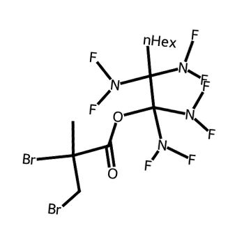 CCCCCCC(N(F)F)(N(F)F)C(OC(=O)C(C)(Br)CBr)(N(F)F)N(F)F